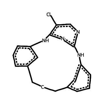 Clc1cnc2nc1Nc1cccc(c1)CCCc1cccc(c1)N2